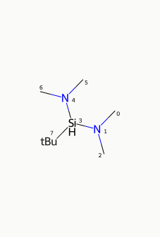 CN(C)[SiH](N(C)C)C(C)(C)C